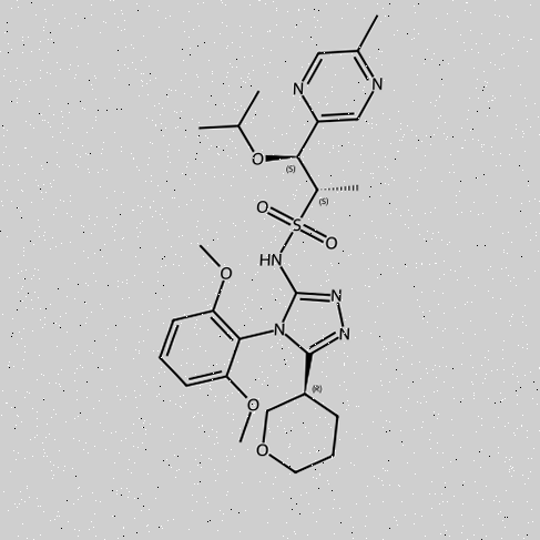 COc1cccc(OC)c1-n1c(NS(=O)(=O)[C@@H](C)[C@@H](OC(C)C)c2cnc(C)cn2)nnc1[C@H]1CCCOC1